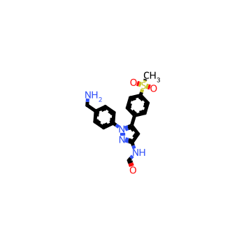 CS(=O)(=O)c1ccc(-c2cc(NC=O)nn2-c2ccc(CN)cc2)cc1